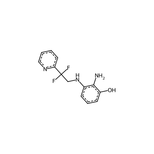 Nc1c(O)cccc1NCC(F)(F)c1ccccn1